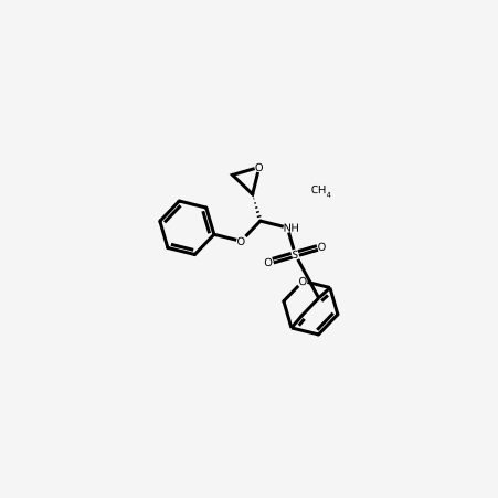 C.O=S(=O)(NC(Oc1ccccc1)[C@@H]1CO1)c1cc2ccc1OC2